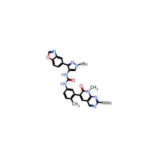 CNc1ncc2cc(-c3cc(NC(=O)Nc4cn(C(C)(C)C)nc4-c4ccc5ocnc5c4)ccc3C)c(=O)n(C)c2n1